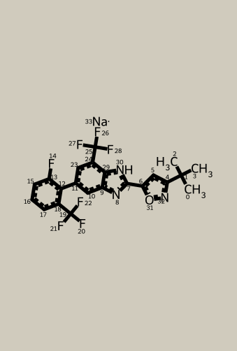 CC(C)(C)c1cc(-c2nc3cc(-c4c(F)cccc4C(F)(F)F)cc(C(F)(F)F)c3[nH]2)on1.[Na]